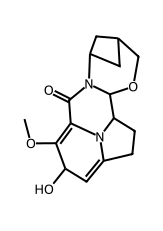 COC1=C2C(=O)N3C4CC(COC3C3CCC(=CC1O)N23)C4